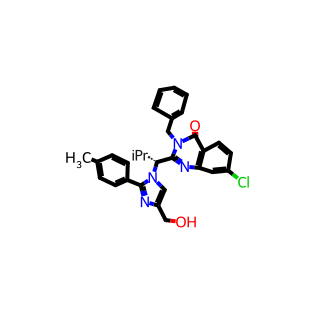 Cc1ccc(-c2nc(CO)cn2[C@@H](c2nc3cc(Cl)ccc3c(=O)n2Cc2ccccc2)C(C)C)cc1